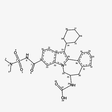 CN(C)S(=O)(=O)NC(=O)c1ccc2c(C3CCCCC3)c3n(c2c1)CC(NC(=O)O)Cc1ccccc1-3